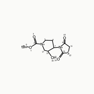 CC(C)(C)OC(=O)N1CCC(N2C(=O)CSC2=O)C(O)C1